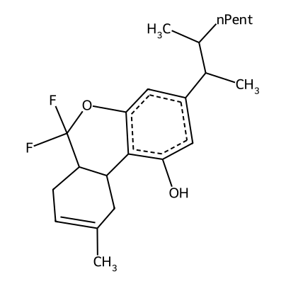 CCCCCC(C)C(C)c1cc(O)c2c(c1)OC(F)(F)C1CC=C(C)CC21